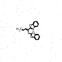 C=C/C=C(\Sc1nc2ccccc2o1)c1nc2ccccc2o1